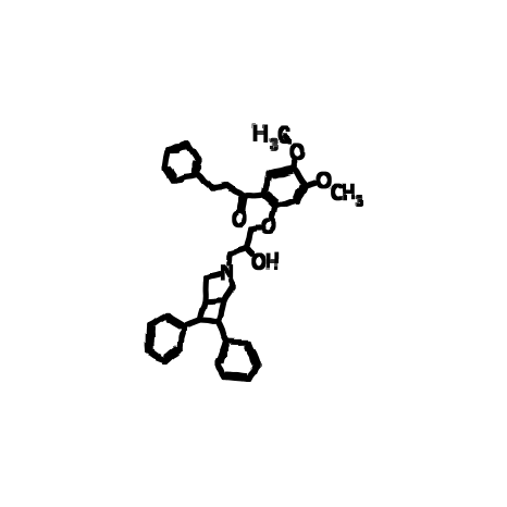 COc1cc(OCC(O)CN2CC3C(C2)C(c2ccccc2)C3c2ccccc2)c(C(=O)CCc2ccccc2)cc1OC